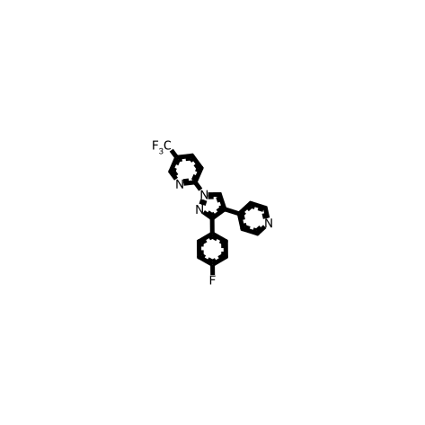 Fc1ccc(-c2nn(-c3ccc(C(F)(F)F)cn3)cc2-c2ccncc2)cc1